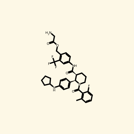 Cc1cccc(F)c1C(=O)N1CCC[C@H](C(=O)Nc2ccc(COC(=O)CN)c(C(F)(F)F)c2)[C@@H]1c1ccc(NC2CCCC2)cc1